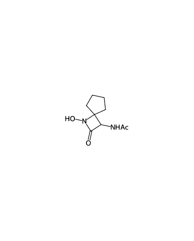 CC(=O)NC1C(=O)N(O)C12CCCC2